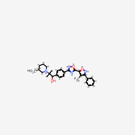 CC(C)(C(O)c1ccc(-c2noc(-c3onc(-c4ccccc4)c3C(F)(F)F)n2)cc1)N1CCC[C@H](C(=O)O)C1